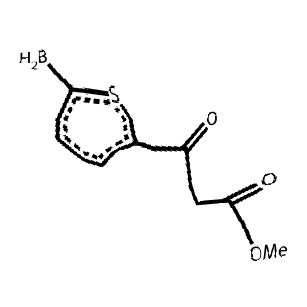 Bc1ccc(C(=O)CC(=O)OC)s1